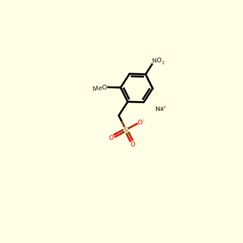 COc1cc([N+](=O)[O-])ccc1CS(=O)(=O)[O-].[Na+]